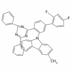 Cc1ccc2c(c1)c1ccccc1n2-c1cc(-c2ccc(F)cc2F)ccc1-c1nc(-c2ccccc2)nc(-c2ccccc2)n1